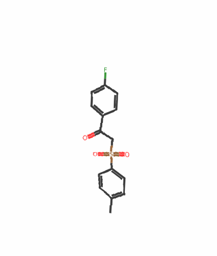 Cc1ccc(S(=O)(=O)CC(=O)c2ccc(F)cc2)cc1